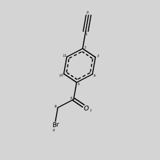 C#Cc1ccc(C(=O)CBr)cc1